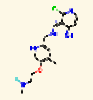 CC1=C(OCCN(C)F)CNC(CN/C=C2\C(=N)C=CN=C2Cl)=C1